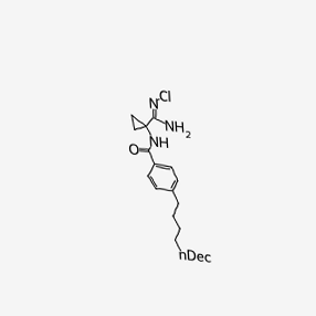 CCCCCCCCCCCCCCc1ccc(C(=O)NC2(/C(N)=N/Cl)CC2)cc1